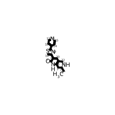 CCC1Cc2[nH]c(=O)c(-c3csc(-c4ccncc4)n3)cc2CN1